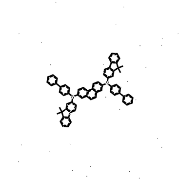 CC1(C)c2ccccc2-c2ccc(N(c3ccc(-c4ccccc4)cc3)c3ccc4c(ccc5cc(N(c6ccc(-c7ccccc7)cc6)c6ccc7c(c6)C(C)(C)c6ccccc6-7)ccc54)c3)cc21